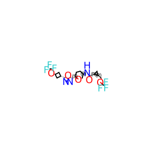 O=C(N[C@@H]1CC[C@@H](c2nnc([C@H]3C[C@@H](OC(F)(F)F)C3)o2)OC1)[C@@H]1C[C@H]1COC(F)(F)F